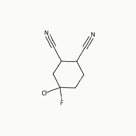 N#CC1CCC(F)(Cl)CC1C#N